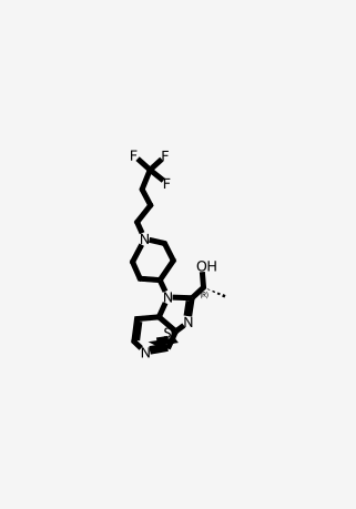 C[C@@H](O)C1=NC23SC=CC2=NC=CC3N1C1CCN(CCCC(F)(F)F)CC1